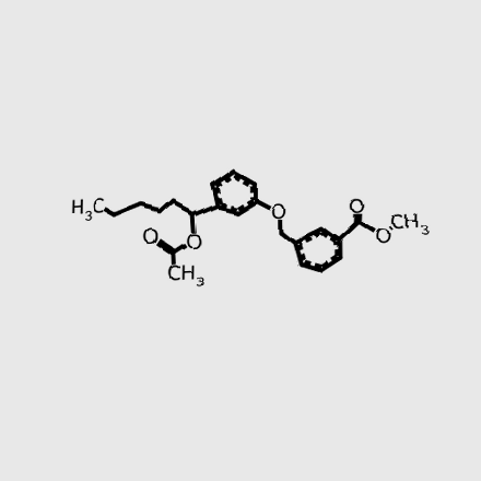 CCCCCC(OC(C)=O)c1cccc(OCc2cccc(C(=O)OC)c2)c1